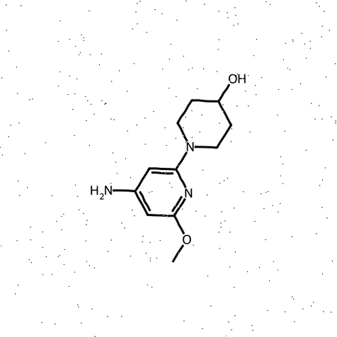 COc1cc(N)cc(N2CCC(O)CC2)n1